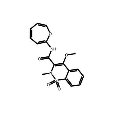 COC1=C(C(=O)NC2=CC=CC=CO2)N(C)S(=O)(=O)c2ccccc21